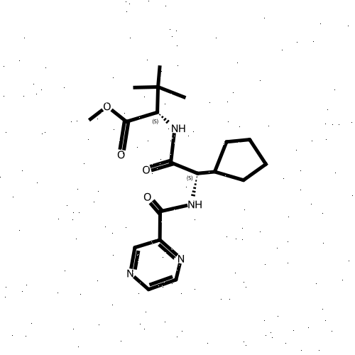 COC(=O)[C@@H](NC(=O)[C@@H](NC(=O)c1cnccn1)C1CCCC1)C(C)(C)C